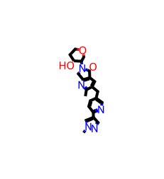 Cc1nc2c(cc1Cc1ccc(-c3cnn(C)c3)nc1)C(=O)N(C1COCCC1O)C2